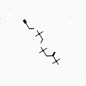 C#CCOC(C)(C)COC(C)(C)CC(=C)C(C)(C)C